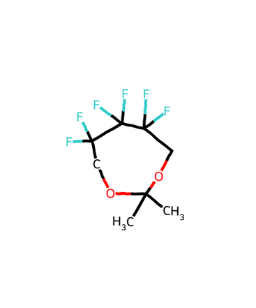 CC1(C)OCC(F)(F)C(F)(F)C(F)(F)CO1